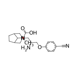 CN(C(=O)O)C1C2CCC1CN(C[C@H](N)COc1ccc(C#N)cc1)C2